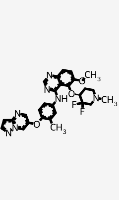 COc1ccc2ncnc(Nc3ccc(Oc4cnc5ccnn5c4)c(C)c3)c2c1O[C@H]1CCN(C)CC1(F)F